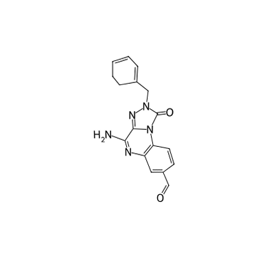 Nc1nc2cc(C=O)ccc2n2c(=O)n(CC3=CC=CCC3)nc12